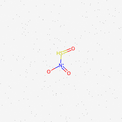 O=[SH][N+](=O)[O-]